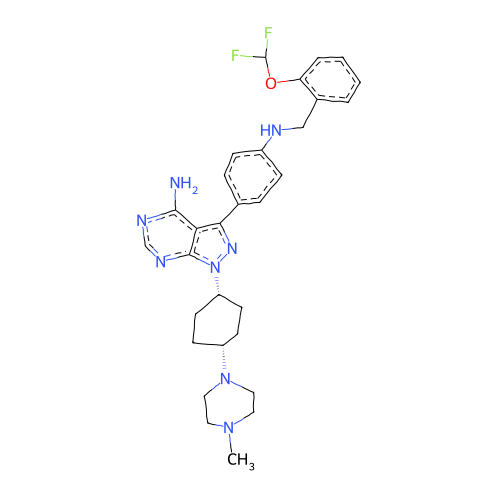 CN1CCN([C@H]2CC[C@@H](n3nc(-c4ccc(NCc5ccccc5OC(F)F)cc4)c4c(N)ncnc43)CC2)CC1